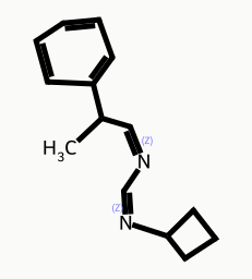 CC(/C=N\C=N/C1CCC1)c1ccccc1